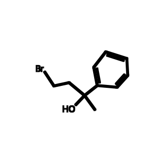 CC(O)(CCBr)c1ccccc1